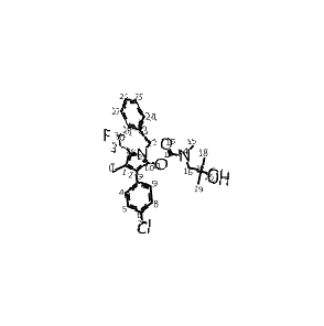 Cc1c(-c2ccc(Cl)cc2)c(OC(=O)N(C)CC(C)(C)O)n(Cc2ccccc2)c1C(F)(F)F